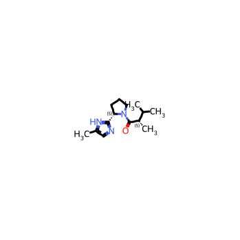 Cc1cnc([C@@H]2CCCN2C(=O)[C@@H](C)C(C)C)[nH]1